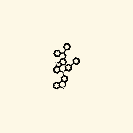 C(=C(c1ccccc1)c1ccccc1)c1ccc2c(c1)sc1cccc(N(c3ccc(-c4ccccc4)cc3)c3ccc4c(c3)-c3ccccc3SC4)c12